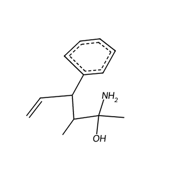 C=CC(c1ccccc1)C(C)C(C)(N)O